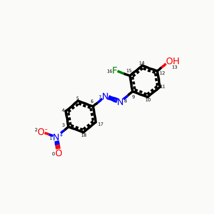 O=[N+]([O-])c1ccc(N=Nc2ccc(O)cc2F)cc1